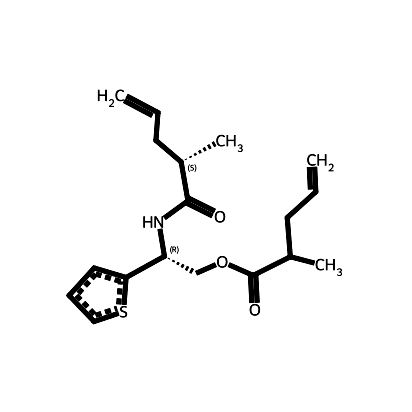 C=CCC(C)C(=O)OC[C@@H](NC(=O)[C@@H](C)CC=C)c1cccs1